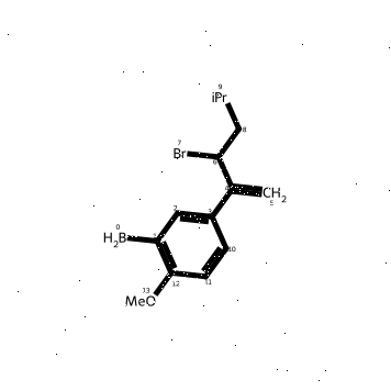 Bc1cc(C(=C)C(Br)CC(C)C)ccc1OC